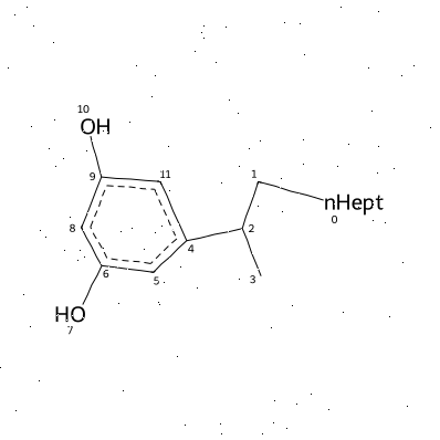 CCCCCCCCC(C)c1cc(O)cc(O)c1